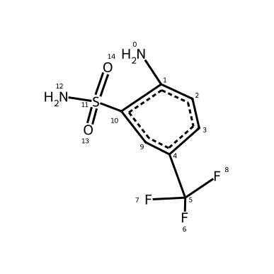 Nc1ccc(C(F)(F)F)cc1S(N)(=O)=O